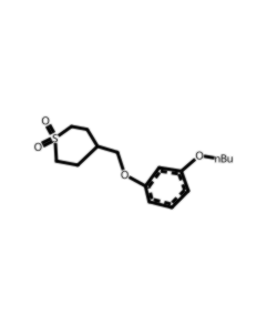 CCCCOc1cccc(OCC2CCS(=O)(=O)CC2)c1